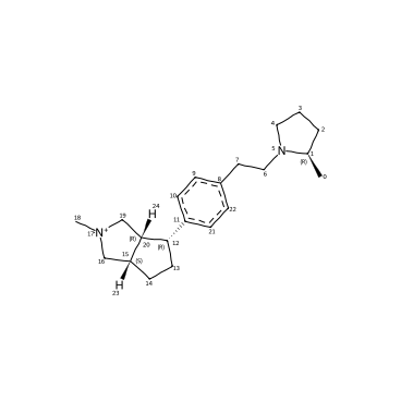 C[C@@H]1CCCN1CCc1ccc([C@@H]2CC[C@@H]3C[N+](C)C[C@@H]32)cc1